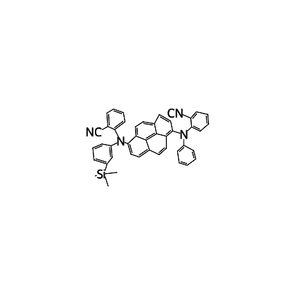 [C-]#[N+]c1ccccc1N(c1ccccc1)c1ccc2ccc3c(N(c4cccc([Si](C)(C)C)c4)c4ccccc4C#N)ccc4ccc1c2c43